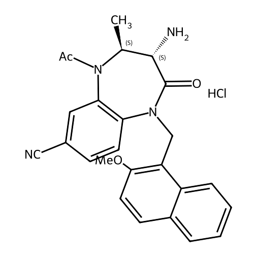 COc1ccc2ccccc2c1CN1C(=O)[C@@H](N)[C@H](C)N(C(C)=O)c2cc(C#N)ccc21.Cl